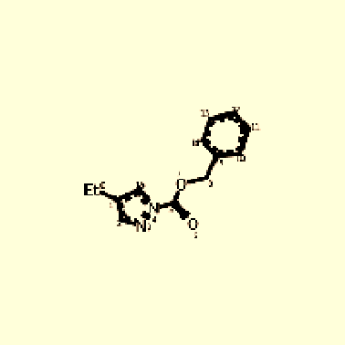 CCc1cnn(C(=O)OCc2ccccc2)c1